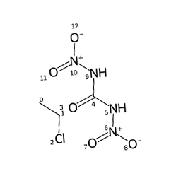 CCCl.O=C(N[N+](=O)[O-])N[N+](=O)[O-]